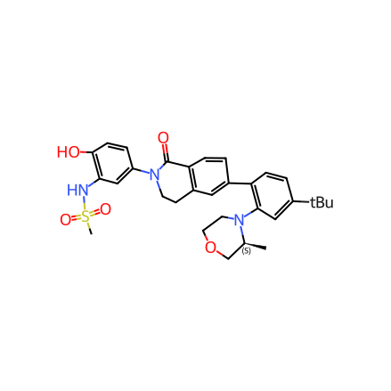 C[C@H]1COCCN1c1cc(C(C)(C)C)ccc1-c1ccc2c(c1)CCN(c1ccc(O)c(NS(C)(=O)=O)c1)C2=O